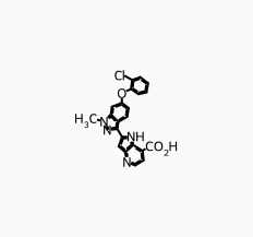 Cn1nc(-c2cc3nccc(C(=O)O)c3[nH]2)c2ccc(Oc3ccccc3Cl)cc21